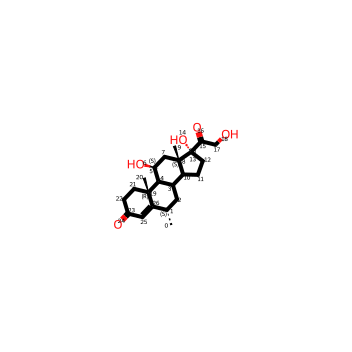 C[C@H]1CC2C([C@@H](O)C[C@@]3(C)C2CC[C@]3(O)C(=O)CO)[C@@]2(C)CCC(=O)C=C12